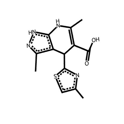 CC1=C(C(=O)O)C(c2nc(C)cs2)c2c(C)n[nH]c2N1